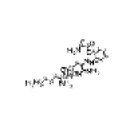 C[C@H](N)C(=O)Oc1ccccc1/N=N/c1ccc(NC(=O)[C@@H](N)CCCCN)nc1N